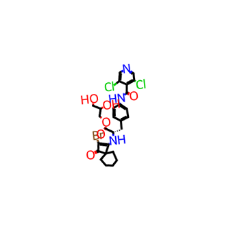 O=C(Nc1ccc(C[C@H](NC2=C(Br)C(=O)C23CCCCC3)C(=O)OCC(O)CO)cc1)c1c(Cl)cncc1Cl